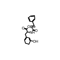 COC(=O)C(CC1=CCCC(O)=C1)NC(=O)OCc1ccccc1